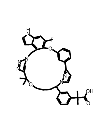 CC1(C)OCCCC(c2cccc(C(C)(C)C(=O)O)c2)n2ccc(n2)-c2cccc(c2)Oc2c(F)cc3[nH]ccc3c2Cn2cc1nn2